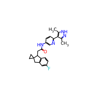 Cc1n[nH]c(C)c1-c1ccc(NC(=O)CC2c3ccc(F)cc3CC23CC3)cn1